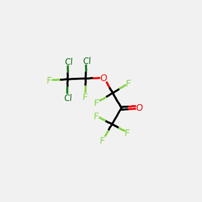 O=C(C(F)(F)F)C(F)(F)OC(F)(Cl)C(F)(Cl)Cl